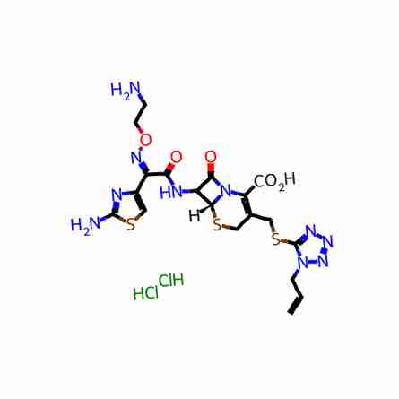 C=CCn1nnnc1SCC1=C(C(=O)O)N2C(=O)C(NC(=O)/C(=N\OCCN)c3csc(N)n3)[C@H]2SC1.Cl.Cl